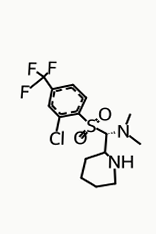 CN(C)[C@H](C1CCCCN1)S(=O)(=O)c1ccc(C(F)(F)F)cc1Cl